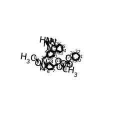 CCOc1nc2ccc(C(=O)OC(C)OC(=O)OC3CCCCC3)cc2n1Cc1ccc(-c2ccccc2-c2nn[nH]n2)cc1